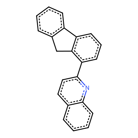 c1ccc2c(c1)Cc1c(-c3ccc4ccccc4n3)cccc1-2